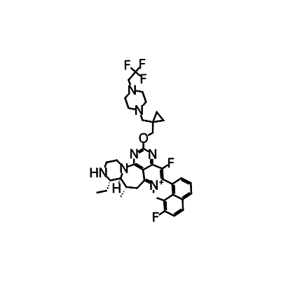 CC[C@@H]1NCCN2c3nc(OCC4(CN5CCN(CC(F)(F)F)CC5)CC4)nc4c(F)c(-c5cccc6ccc(F)c(C)c56)[n+](C)c(c34)C[C@H](C)[C@@H]12